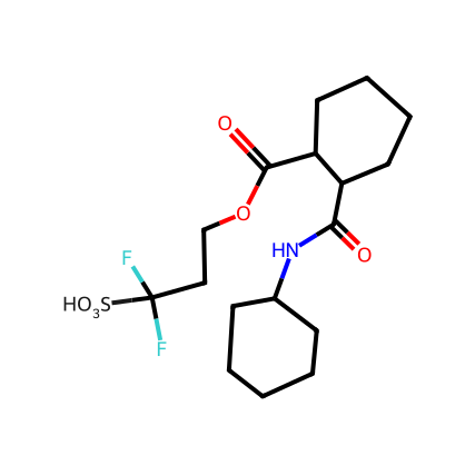 O=C(NC1CCCCC1)C1CCCCC1C(=O)OCCC(F)(F)S(=O)(=O)O